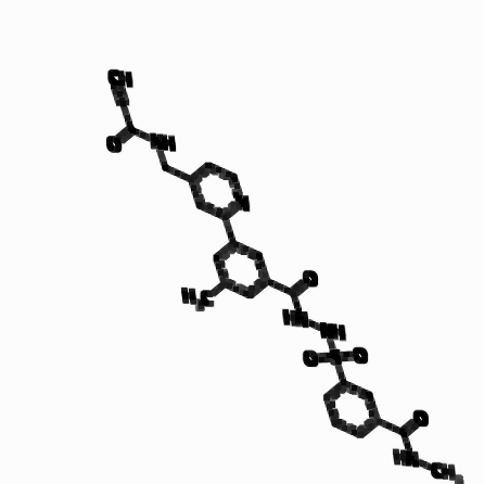 C#CC(=O)NCc1ccnc(-c2cc(C)cc(C(=O)NNS(=O)(=O)c3cccc(C(=O)NC)c3)c2)c1